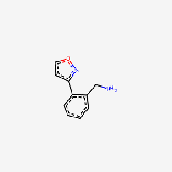 NCc1ccccc1-c1[c]con1